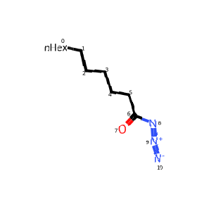 CCCCCCCCCCCC(=O)N=[N+]=[N-]